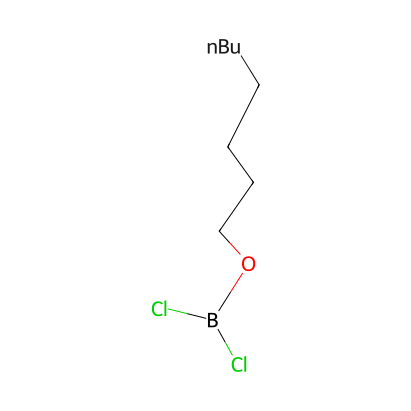 CCCCCCCCOB(Cl)Cl